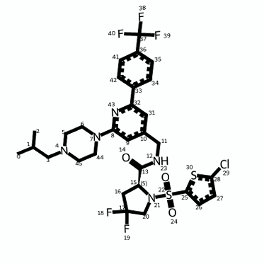 CC(C)CN1CCN(c2cc(CNC(=O)[C@@H]3CC(F)(F)CN3S(=O)(=O)c3ccc(Cl)s3)cc(-c3ccc(C(F)(F)F)cc3)n2)CC1